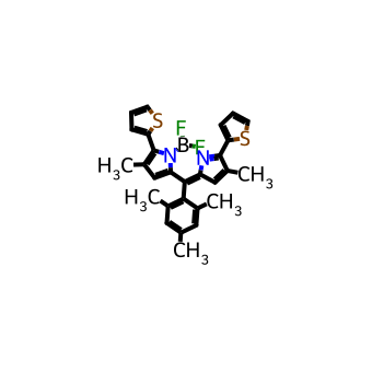 CC1=C/C(=C(\c2c(C)cc(C)cc2C)c2cc(C)c(-c3cccs3)n2B(F)F)N=C1c1cccs1